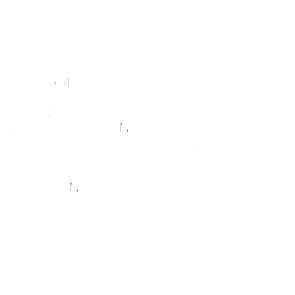 CCCC(C)(CC)c1ccnc(C(=O)O)n1